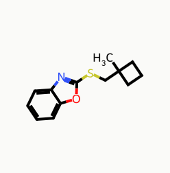 CC1(CSc2nc3ccccc3o2)CCC1